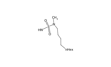 CCCCCCCCCCN(C)S([NH])(=O)=O